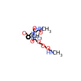 CNCCOCCOCCOCCC(=O)Nc1cccc(C=O)c1CN(C)C(C=O)CCC(=O)NC